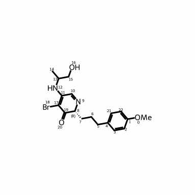 COc1ccc(CCC[C@H]2N=CC(NC(C)CO)=C(Br)C2=O)cc1